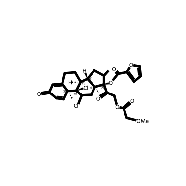 COCC(=O)OCC(=O)[C@@]1(OC(=O)c2ccco2)C(C)C[C@H]2[C@@H]3CCC4=CC(=O)C=C[C@]4(C)[C@@]3(Cl)C(Cl)C[C@@]21C